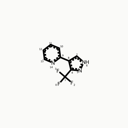 FC(F)(F)c1n[nH]cc1-c1ccc[c]n1